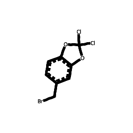 ClC1(Cl)Oc2ccc(CBr)cc2O1